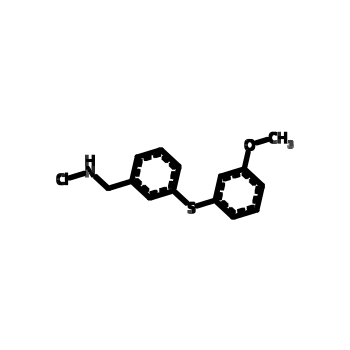 COc1cccc(Sc2cccc(CNCl)c2)c1